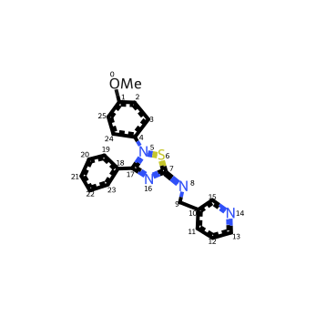 COc1ccc(-n2sc(=NCc3cccnc3)nc2-c2ccccc2)cc1